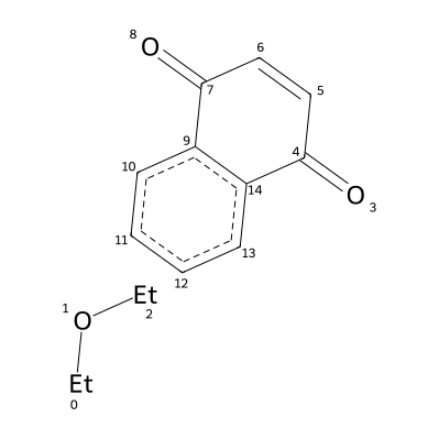 CCOCC.O=C1C=CC(=O)c2ccccc21